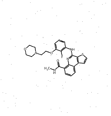 CNC(=O)c1cccc2c1nc(Nc1cccc(OCCN3CCOCC3)c1F)c1sccc12